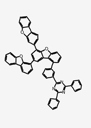 c1ccc(-c2nc(-c3ccccc3)nc(-c3cccc(-c4cccc5oc6c(-c7ccc8c(c7)oc7ccccc78)cc(-c7cccc8c7oc7ccccc78)cc6c45)c3)n2)cc1